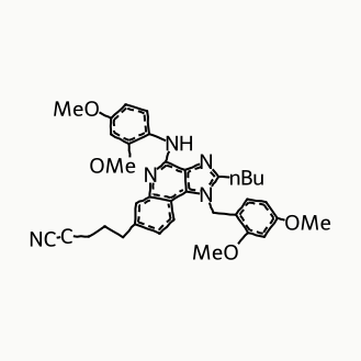 CCCCc1nc2c(Nc3ccc(OC)cc3OC)nc3cc(CCCCC#N)ccc3c2n1Cc1ccc(OC)cc1OC